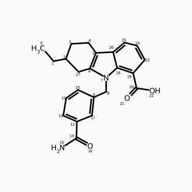 CCC1CCc2c(n(Cc3cccc(C(N)=O)c3)c3c(C(=O)O)cccc23)C1